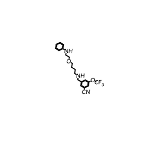 N#Cc1cc(CNCCCCOCCNc2ccccc2)cc(OC(F)(F)F)c1